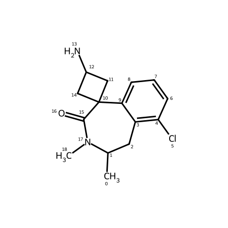 CC1Cc2c(Cl)cccc2C2(CC(N)C2)C(=O)N1C